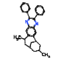 CC1CC2CC(C)c3cc4nc(-c5ccccc5)c(-c5ccccc5)nc4cc3C(C1)C2